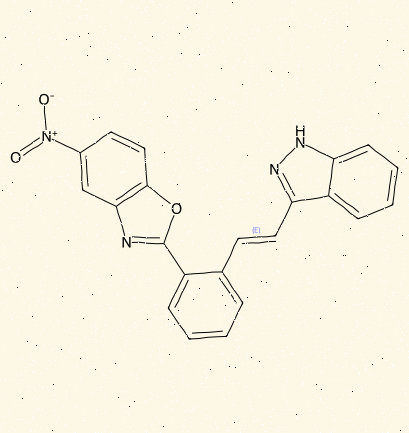 O=[N+]([O-])c1ccc2oc(-c3ccccc3/C=C/c3n[nH]c4ccccc34)nc2c1